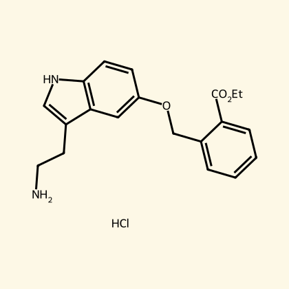 CCOC(=O)c1ccccc1COc1ccc2[nH]cc(CCN)c2c1.Cl